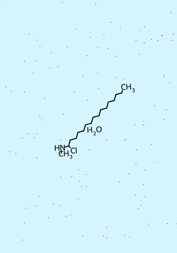 CCCCCCCCCCCCCCCC(Cl)NC.O